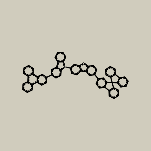 c1ccc2c(c1)-c1ccccc1C21c2ccccc2-c2ccc(-c3ccc4sc5cc(-n6c7ccccc7c7cc(-c8ccc9c%10ccccc%10c%10ccccc%10c9c8)ccc76)ccc5c4c3)cc21